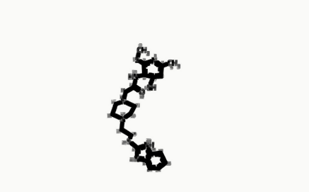 CSc1nc(C)cc(S)c1NC(=O)CN1CCN(CCSc2nc3ccccc3[nH]2)CC1